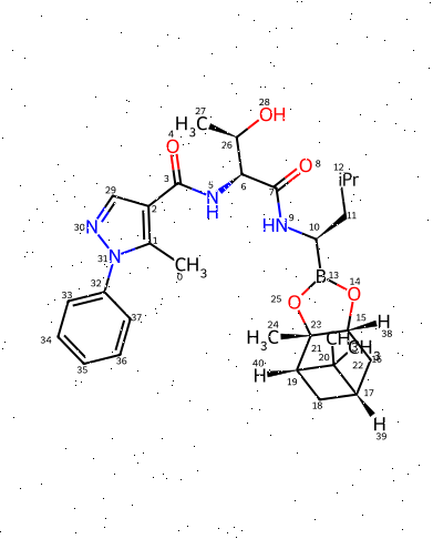 Cc1c(C(=O)N[C@H](C(=O)N[C@@H](CC(C)C)B2O[C@@H]3C[C@@H]4C[C@@H](C4(C)C)[C@]3(C)O2)[C@@H](C)O)cnn1-c1ccccc1